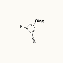 [C]#Cc1cc(F)cc(OC)c1